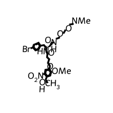 CNCCOCCOCCNC(=O)C[C@H](Cc1ccc(Br)cc1)NC(=O)CCCOc1cc([N+](=O)[O-])c(C(C)O)cc1OC